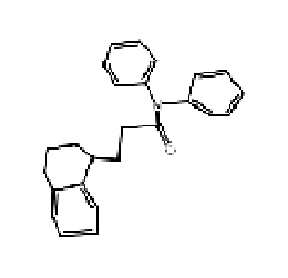 O=C(CCC1CCCc2ccccc21)N(c1ccccc1)c1ccccc1